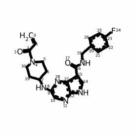 C=CC(=O)N1CCC(Nc2cnc3[nH]cc(C(=O)NCc4ccc(F)cc4)c3n2)CC1